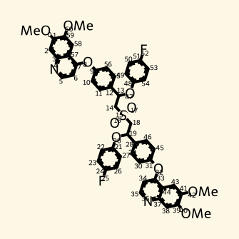 COc1cc2nccc(Oc3ccc(C(CS(=O)(=O)CC(Oc4ccc(F)cc4)c4ccc(Oc5ccnc6cc(OC)c(OC)cc56)cc4)Oc4ccc(F)cc4)cc3)c2cc1OC